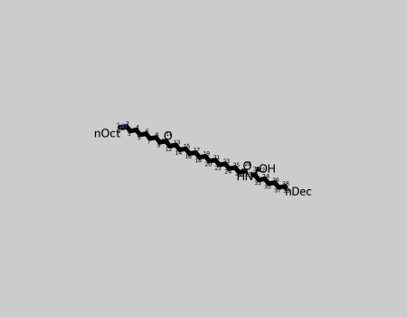 CCCCCCCC/C=C\CCCCCCCC(=O)CCCCCCCCCCCCCCCC(=O)N[C@@H](CO)CCCCCCCCCCCCCCCC